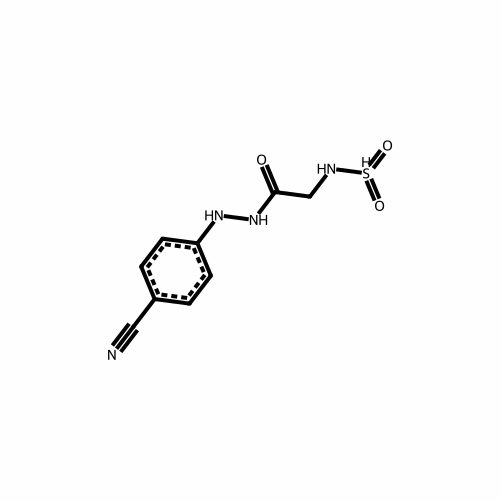 N#Cc1ccc(NNC(=O)CN[SH](=O)=O)cc1